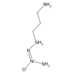 NCCC[SiH2]N=[N+]([O-])[SiH3]